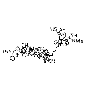 CC[C@@H](C)[C@@H]([C@@H](CC(=O)N1CCC[C@H]1[C@H](OC)[C@@H](C)C(=O)N[C@@H](Cc1ccccc1)C(=O)O)OC)N(C)C(=O)[C@@H](NC(=O)[C@H](C(C)C)N(C)C(=O)CCCCCN1C(=O)C(SN[C@@H](CS)C(C)=O)=C(SC(=O)[C@H](CS)NC)C1=O)C(C)C